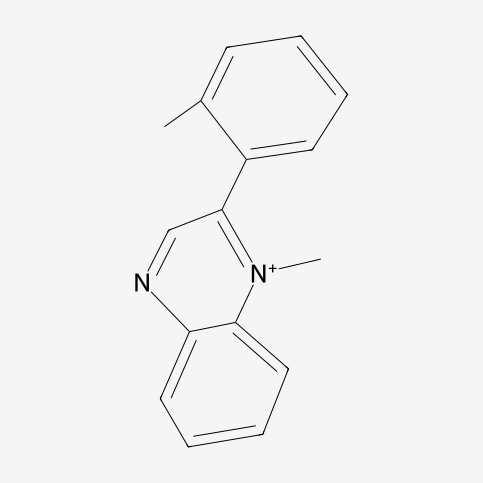 Cc1ccccc1-c1cnc2ccccc2[n+]1C